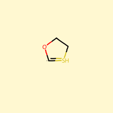 [C]1=[SH]CCO1